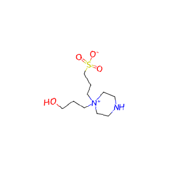 O=S(=O)([O-])CCC[N+]1(CCCO)CCNCC1